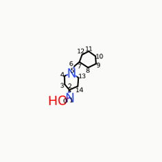 ON=C1CCN(CC2CCCCC2)CC1